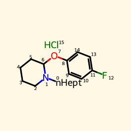 CCCCCCCN1CCCCC1Oc1ccc(F)cc1.Cl